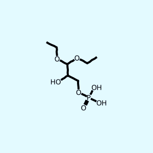 CCOC(OCC)C(O)COP(=O)(O)O